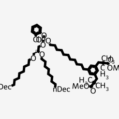 CCCCCCCCCCCCCCCCCCOC[C@@H](COP(=O)(OCCCCCCCCCCCc1cc(CC(C)(C)C(=O)OC)cc(CC(C)(C)C(=O)OC)c1)Oc1ccccc1Cl)OCCCCCCCCCCCCCCCCCC